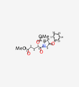 COC(=O)CCCC(=O)N1CC(Oc2ccccc2)C[C@H]1C(=O)OC